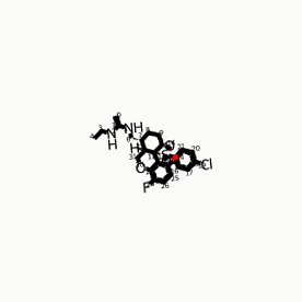 C=C(NCC)NC[C@@H]1CCC[C@@]2(S(=O)(=O)c3ccc(Cl)cc3)c3c(F)ccc(F)c3OC[C@@H]12